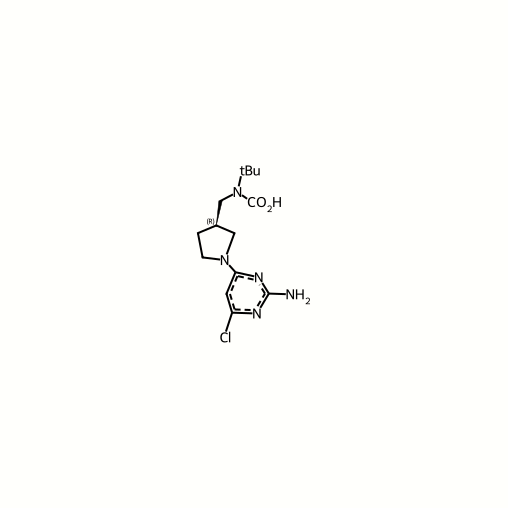 CC(C)(C)N(C[C@@H]1CCN(c2cc(Cl)nc(N)n2)C1)C(=O)O